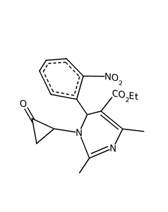 CCOC(=O)C1=C(C)N=C(C)N(C2CC2=O)C1c1ccccc1[N+](=O)[O-]